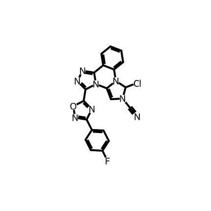 N#CN1C=C2N(c3ccccc3-c3nnc(-c4nc(-c5ccc(F)cc5)no4)n32)C1Cl